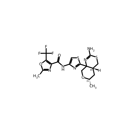 Cc1nc(C(=O)Nc2csc(C34CO[C@@H](C)C[C@H]3CSC(N)=N4)n2)c(C(F)(F)F)o1